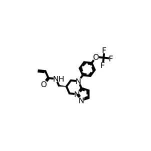 C=CC(=O)NC[C@H]1CN(c2ccc(OC(F)(F)F)cc2)c2ccnn2C1